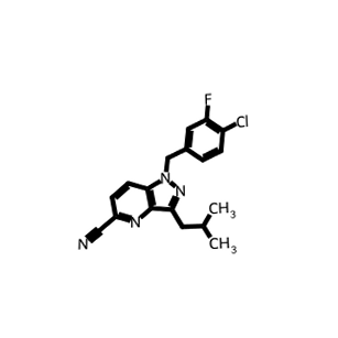 CC(C)Cc1nn(Cc2ccc(Cl)c(F)c2)c2ccc(C#N)nc12